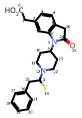 O=C(O)Cc1ccc2c(c1)N(C1CCN(C(F)Cc3ccccc3)CC1)C(=O)C2